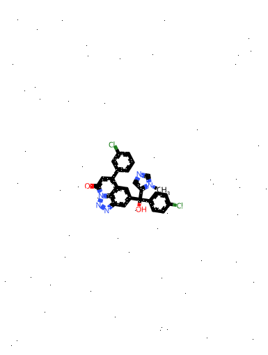 Cn1cncc1C(O)(c1ccc(Cl)cc1)c1cc2nnn3c(=O)cc(-c4cccc(Cl)c4)c(c1)c23